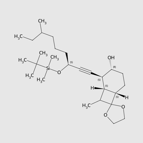 CCC(C)CCC[C@@H](C#C[C@@H]1[C@H]2C(C)C3(OCCO3)[C@H]2CC[C@H]1O)O[Si](C)(C)C(C)(C)C